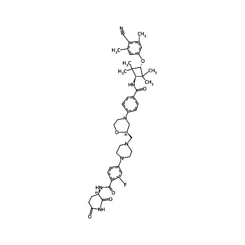 Cc1cc(O[C@H]2C(C)(C)[C@H](NC(=O)c3ccc(N4CCO[C@H](CN5CCN(c6ccc(C(=O)N[C@@H]7CCC(=O)NC7=O)c(F)c6)CC5)C4)cc3)C2(C)C)cc(C)c1C#N